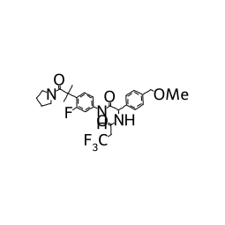 COCc1ccc(C(NC(=O)CC(F)(F)F)C(=O)Nc2ccc(C(C)(C)C(=O)N3CCCC3)c(F)c2)cc1